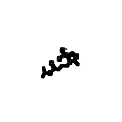 Cc1ncc([N+](=O)[O-])n1CCCC(=O)OC(C)C